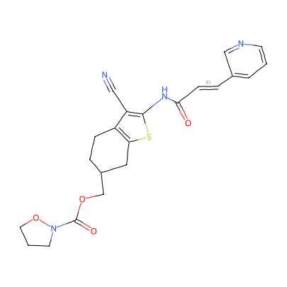 N#Cc1c(NC(=O)/C=C/c2cccnc2)sc2c1CCC(COC(=O)N1CCCO1)C2